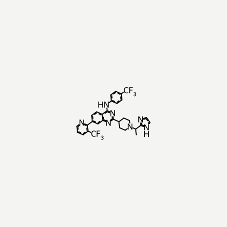 CC(c1ncc[nH]1)N1CCC(c2nc(Nc3ccc(C(F)(F)F)cc3)c3ccc(-c4ncccc4C(F)(F)F)cc3n2)CC1